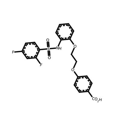 O=C(O)c1ccc(OCCOc2ccccc2NS(=O)(=O)c2ccc(F)cc2F)cc1